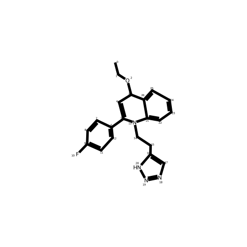 CCOC1C=C(c2ccc(F)cc2)N(CCc2cnn[nH]2)c2ccccc21